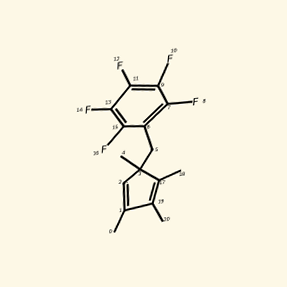 CC1=[C]C(C)(Cc2c(F)c(F)c(F)c(F)c2F)C(C)=C1C